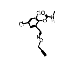 C#CCON=Cc1cc(Cl)cc(Cl)c1OC(=O)NC